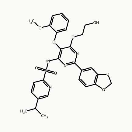 COc1ccccc1Oc1c(NS(=O)(=O)c2ccc(C(C)C)cn2)nc(-c2ccc3c(c2)OCO3)nc1OCCO